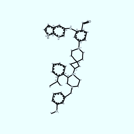 COc1cccc(CN2CCN(C3CC4(CCN(c5ccc(C=O)c(Oc6cnc7[nH]ccc7c6)c5)CC4)C3)C(c3ccccc3C(C)C)C2)c1